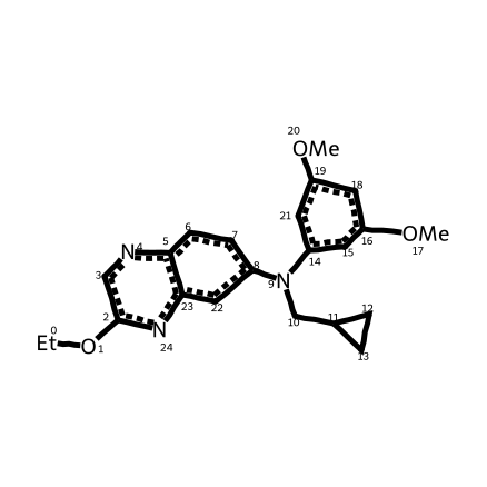 CCOc1cnc2ccc(N(CC3CC3)c3cc(OC)cc(OC)c3)cc2n1